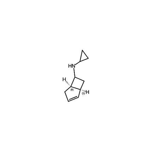 C1=C[C@@H]2CC(NC3CC3)[C@@H]2C1